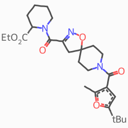 CCOC(=O)C1CCCCN1C(=O)C1=NOC2(CCN(C(=O)c3cc(C(C)(C)C)oc3C)CC2)C1